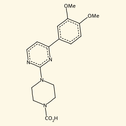 COc1ccc(-c2ccnc(N3CCN(C(=O)O)CC3)n2)cc1OC